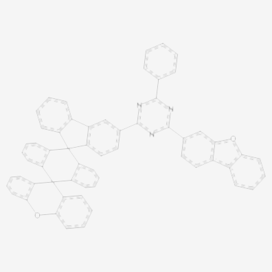 c1ccc(-c2nc(-c3ccc4c(c3)-c3ccccc3C43c4ccccc4C4(c5ccccc5Oc5ccccc54)c4ccccc43)nc(-c3ccc4c(c3)oc3ccccc34)n2)cc1